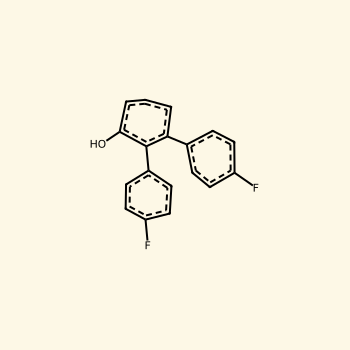 Oc1cccc(-c2ccc(F)cc2)c1-c1ccc(F)cc1